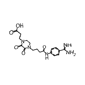 N=C(N)c1ccc(NC(=O)CCCN2CCN(CCC(=O)O)C(=O)C2=O)cc1